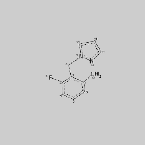 Cc1cccc(F)c1Cn1cccn1